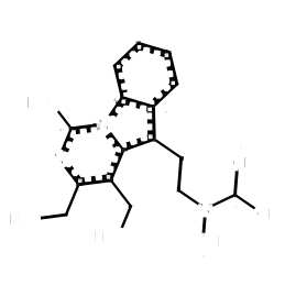 CCc1nc(C)n2c(c1CC)c(CCN(C)C(C)C)c1ccccc12